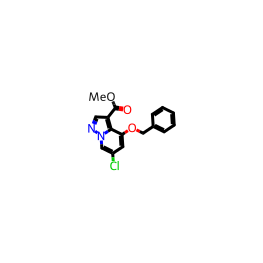 COC(=O)c1cnn2cc(Cl)cc(OCc3ccccc3)c12